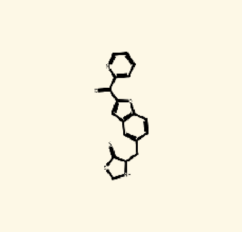 O=C(c1ccccn1)c1cc2cc(CC3NCSC3=S)ccc2o1